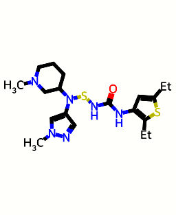 CCc1cc(NC(=O)NSN(c2cnn(C)c2)C2CCCN(C)C2)c(CC)s1